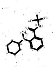 CN(c1ccccc1C(=O)NC(F)(F)F)C1CCCCC1